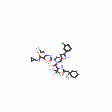 CCC[C@H](NC(=O)[C@@H]1C[C@]2(CC(c3cccc(Cl)c3)=NO2)CN1C(=O)[C@@H](NC(=O)CC1(C)CCCCC1)C(C)(C)C)C(=O)C(=O)NC1CC1